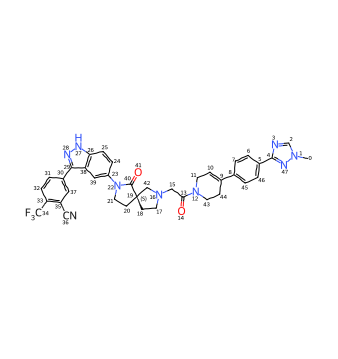 Cn1cnc(-c2ccc(C3=CCN(C(=O)CN4CC[C@]5(CCN(c6ccc7[nH]nc(-c8ccc(C(F)(F)F)c(C#N)c8)c7c6)C5=O)C4)CC3)cc2)n1